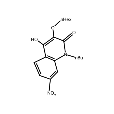 CCCCCCOc1c(O)c2ccc([N+](=O)[O-])cc2n(CCCC)c1=O